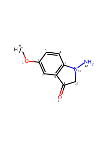 COc1ccc2c(c1)C(=O)CN2N